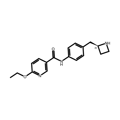 CCOc1ccc(C(=O)Nc2ccc(C[C@@H]3CCN3)cc2)cn1